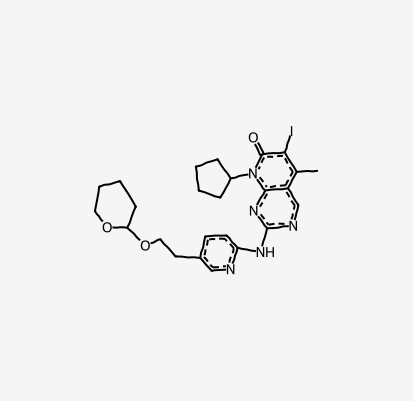 Cc1c(I)c(=O)n(C2CCCC2)c2nc(Nc3ccc(CCOC4CCCCO4)cn3)ncc12